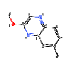 COc1cnc2ccc(C)cc2n1